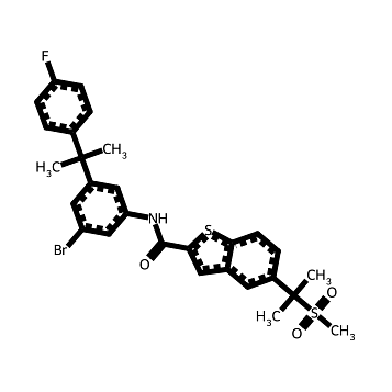 CC(C)(c1ccc(F)cc1)c1cc(Br)cc(NC(=O)c2cc3cc(C(C)(C)S(C)(=O)=O)ccc3s2)c1